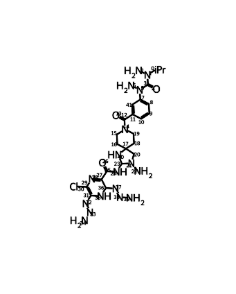 CC(C)N(N)C(=O)N(N)c1cccc(C(=O)N2CCC3(CC2)CN(N)C(NC(=O)C2=NC(Cl)=C(N=NN)NC2N=NN)N3)c1